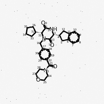 O=C1N[C@H](C2Cc3ccccc3C2)C(=O)N(Cc2ccc(C(=O)N3CCOCC3)cc2)[C@@H]1C1CCCC1